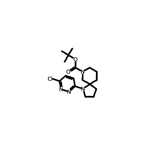 CC(C)(C)OC(=O)N1CCCC2(CCCN2c2ccc(Cl)nn2)C1